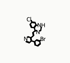 Clc1ccc2c(c1)NCCN=C2C=Cc1cnccc1-c1cccc(Br)c1